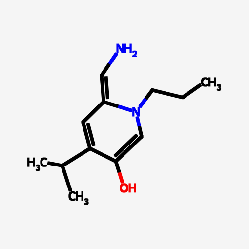 CCCN1C=C(O)C(C(C)C)=C/C1=C/N